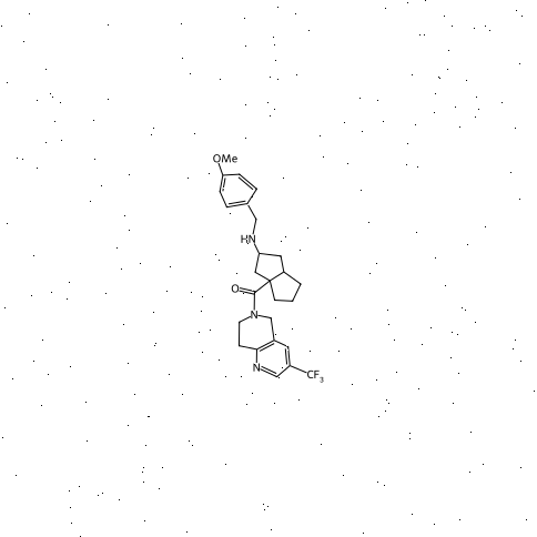 COc1ccc(CNC2CC3CCCC3(C(=O)N3CCc4ncc(C(F)(F)F)cc4C3)C2)cc1